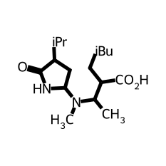 CCC(C)CC(C(=O)O)C(C)N(C)C1CC(C(C)C)C(=O)N1